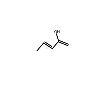 C=C(O)/C=C/C